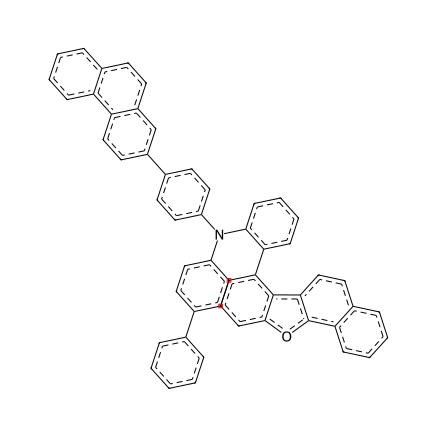 c1ccc(-c2ccc(N(c3ccc(-c4ccc5c(ccc6ccccc65)c4)cc3)c3ccccc3-c3cccc4oc5c6ccccc6ccc5c34)cc2)cc1